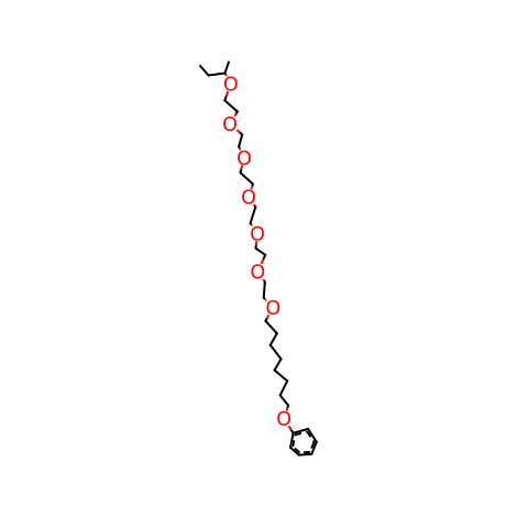 CCC(C)OCCOCCOCCOCCOCCOCCOCCCCCCCCOc1ccccc1